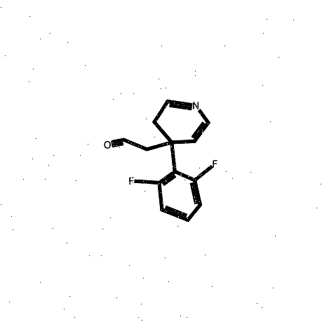 O=CCC1(c2c(F)cccc2F)C=CN=CC1